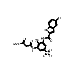 CCS(=O)(=O)c1cc(NC(=O)CC(=O)OC)c(O)c(NC(=O)c2cc3cc(Cl)ccc3[nH]2)c1